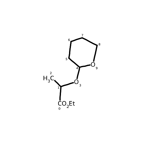 CCOC(=O)C(C)OC1CCCCO1